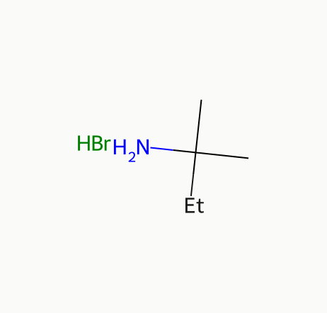 Br.CCC(C)(C)N